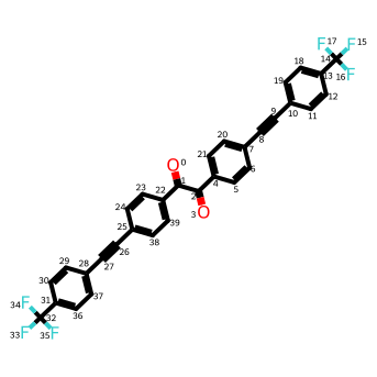 O=C(C(=O)c1ccc(C#Cc2ccc(C(F)(F)F)cc2)cc1)c1ccc(C#Cc2ccc(C(F)(F)F)cc2)cc1